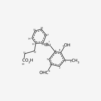 Cc1cc(C=O)cc(C(C)(C)C)c1O.O=C(O)CCc1ccccc1